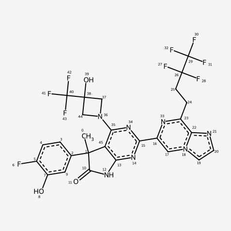 CC1(c2ccc(F)c(O)c2)C(=O)Nc2nc(-c3cn4ccnc4c(CCC(F)(F)C(F)(F)F)n3)nc(N3CC(O)(C(F)(F)F)C3)c21